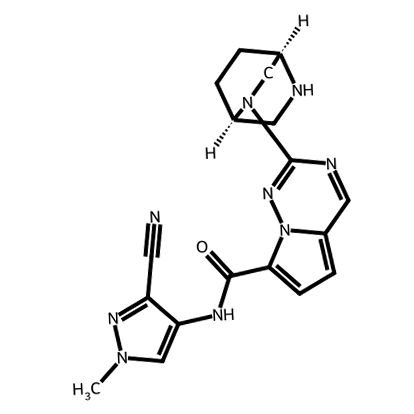 Cn1cc(NC(=O)c2ccc3cnc(N4C[C@H]5CC[C@@H]4CN5)nn23)c(C#N)n1